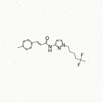 Cc1ccc(/C=C/C(=O)Nc2ccn(CCCCC(C)(F)F)n2)cc1